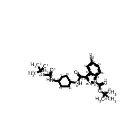 CC(C)(C)OC(=O)NC1CCC(NC(=O)c2nn(C(=O)OC(C)(C)C)c3ccc(Br)cc23)CC1